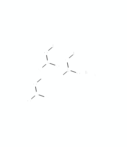 [In+3].[In+3].[O-]B([O-])OF.[O-]B([O-])OF.[O-]B([O-])OF